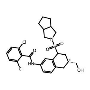 O=C(Nc1ccc2c(c1)C(S(=O)(=O)N1CC3CCCC3C1)C[C@H](CO)C2)c1c(Cl)cccc1Cl